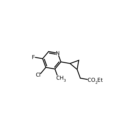 CCOC(=O)CC1CC1c1ncc(F)c(Cl)c1C